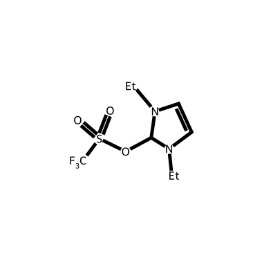 CCN1C=CN(CC)C1OS(=O)(=O)C(F)(F)F